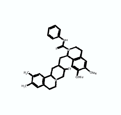 CCC1CN2CCc3cc(C)c(C)cc3C2CC1CC1c2cc(OC)c(OC)cc2CCN1C(=S)Nc1ccccc1